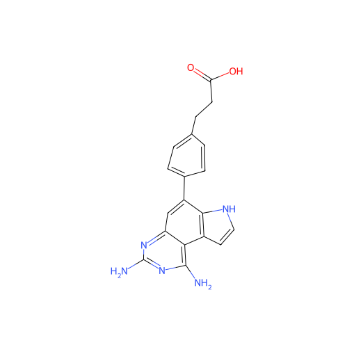 Nc1nc(N)c2c(cc(-c3ccc(CCC(=O)O)cc3)c3[nH]ccc32)n1